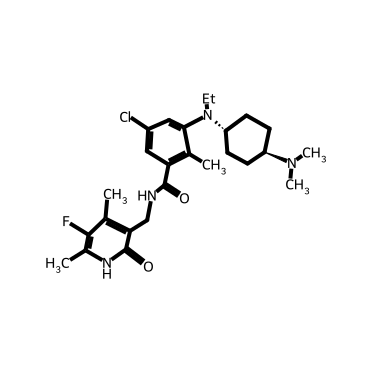 CCN(c1cc(Cl)cc(C(=O)NCc2c(C)c(F)c(C)[nH]c2=O)c1C)[C@H]1CC[C@H](N(C)C)CC1